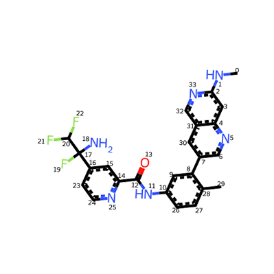 CNc1cc2ncc(-c3cc(NC(=O)c4cc(C(N)(F)C(F)F)ccn4)ccc3C)cc2cn1